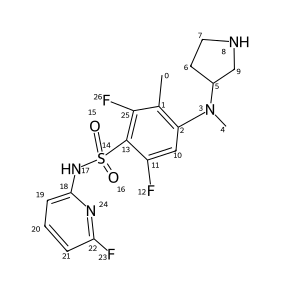 Cc1c(N(C)C2CCNC2)cc(F)c(S(=O)(=O)Nc2cccc(F)n2)c1F